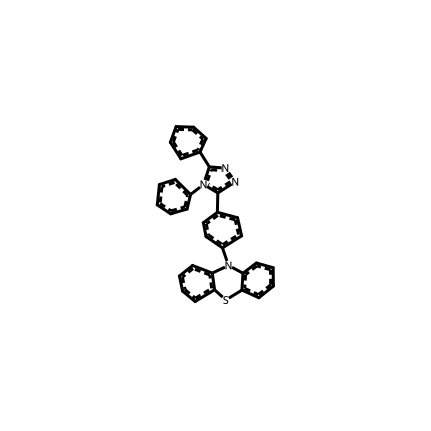 c1ccc(-c2nnc(-c3ccc(N4c5ccccc5Sc5ccccc54)cc3)n2-c2ccccc2)cc1